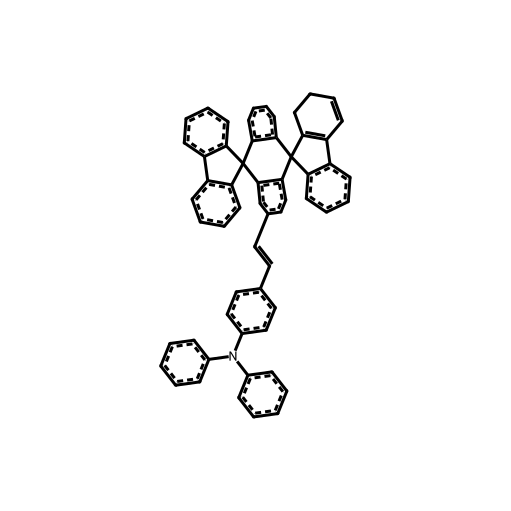 C1=CC2=C(CC1)C1(c3ccccc32)c2ccccc2C2(c3ccccc3-c3ccccc32)c2cc(/C=C/c3ccc(N(c4ccccc4)c4ccccc4)cc3)ccc21